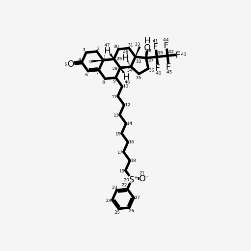 C[C@]12CCC(=O)C=C1CC(CCCCCCCCCC[S+]([O-])c1ccccc1)[C@@H]1[C@H]2CC[C@@]2(C)[C@H]1CCC2(O)C(F)(F)C(F)(F)F